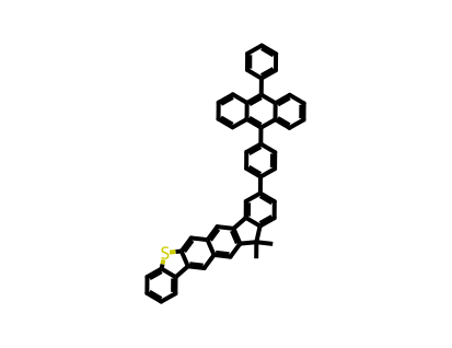 CC1(C)c2ccc(-c3ccc(-c4c5ccccc5c(-c5ccccc5)c5ccccc45)cc3)cc2-c2cc3cc4sc5ccccc5c4cc3cc21